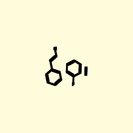 C=C.ClC=Cc1ccccc1.Fc1ccccc1